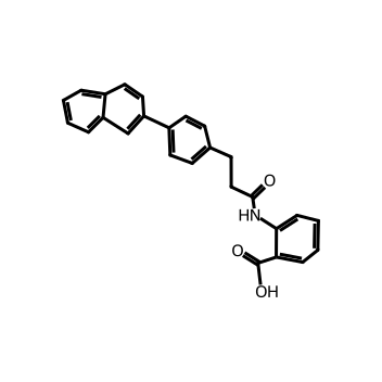 O=C(CCc1ccc(-c2ccc3ccccc3c2)cc1)Nc1ccccc1C(=O)O